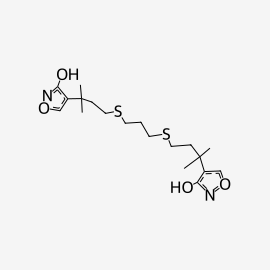 CC(C)(CCSCCCSCCC(C)(C)c1conc1O)c1conc1O